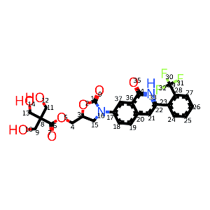 O=C1OC(COC(=O)C(CO)(CO)CO)CN1c1ccc2cc(-c3ccccc3C(F)(F)F)[nH]c(=O)c2c1